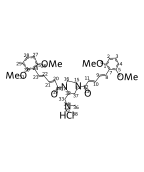 COc1cccc(OC)c1/C=C/C=C/C(=O)N1CCN(C(=O)/C=C/C=C/c2c(OC)cccc2OC)C(CN(C)C)C1.Cl